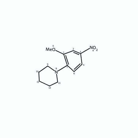 COc1cc([N+](=O)[O-])ccc1N1CC[CH]CC1